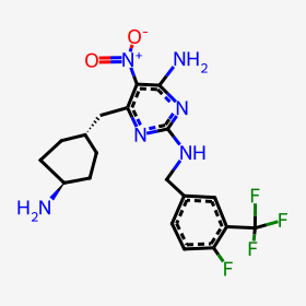 Nc1nc(NCc2ccc(F)c(C(F)(F)F)c2)nc(C[C@H]2CC[C@H](N)CC2)c1[N+](=O)[O-]